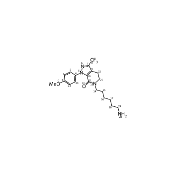 COc1ccc(-n2nc(C(F)(F)F)c3c2C(=O)N(CCCCCCN)CC3)cc1